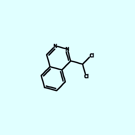 ClC(Cl)c1nncc2ccccc12